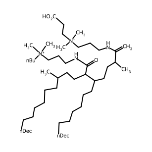 C=C(NCCC[N+](C)(C)CCC(=O)O)C(C)CCC(CCCCCCCCCCCCCCCC)C(CCC(C)CCCCCCCCCCCCCCCC)C(=O)NCCC[N+](C)(C)CCCC